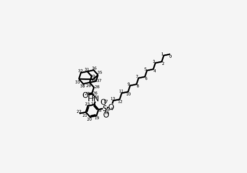 CCCCCCCCCCCCCCOS(=O)(=O)c1ccc(C)cc1NC(=O)CC12CC3CC(CC(C3)C1)C2